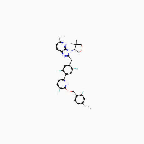 CC1(C)COCC1n1c(Cc2cc(F)c(-c3ccc(F)c(OCc4ccc(C#N)cc4F)n3)cc2F)nc2ccc(C(=O)O)nc21